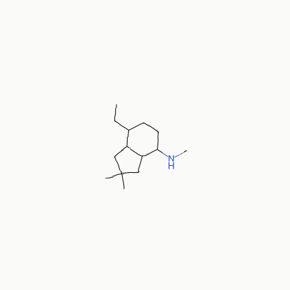 CCC1CCC(NC)C2CC(C)(C)CC12